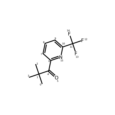 CC(C)(C)C(=O)c1cccc(C(F)(F)F)n1